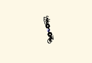 O=C=Nc1ccc(/C=C/c2ccc(OC(F)=C(F)F)cc2)cc1